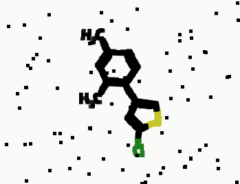 Cc1ccc(-c2csc(Cl)c2)c(C)c1